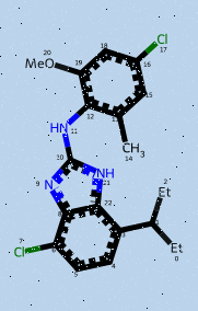 CCC(CC)c1ccc(Cl)c2nc(Nc3c(C)cc(Cl)cc3OC)[nH]c12